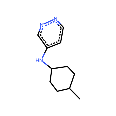 CC1CCC(Nc2ccnnc2)CC1